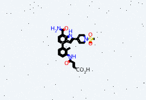 Cc1c(NC(=O)C=CC(=O)O)cccc1-c1ccc(C(N)=O)c2[nH]c(C3=CCN(S(C)(=O)=O)CC3)cc12